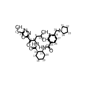 CSc1nnc(C(=O)C(CC(C)C)NC(=O)[C@@H]2CCCC[C@@H]2NC(=O)c2ccc(CN3CCCC3)cc2)o1